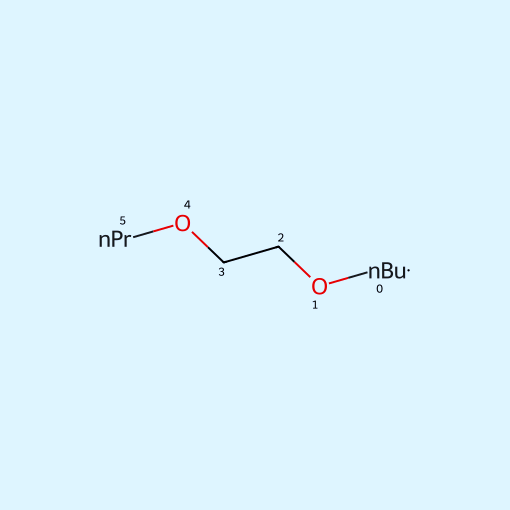 CCC[CH]OCCOCCC